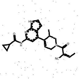 C/C=C(/C#N)C(=O)N1CC=C(c2cc(NC(=O)C3CC3)nc3[nH]ccc23)C(C)C1